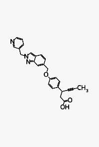 CC#CC(CC(=O)O)c1ccc(OCc2ccc3cn(Cc4cccnc4)nc3c2)cc1